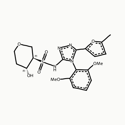 COc1cccc(OC)c1-n1c(NS(=O)(=O)[C@@H]2COCC[C@H]2O)nnc1-c1ccc(C)o1